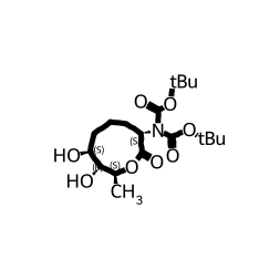 C[C@@H]1OC(=O)[C@@H](N(C(=O)OC(C)(C)C)C(=O)OC(C)(C)C)CCC[C@H](O)[C@H]1O